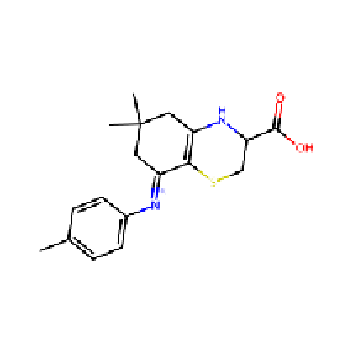 Cc1ccc(/N=C2\CC(C)(C)CC3=C2SCC(C(=O)O)N3)cc1